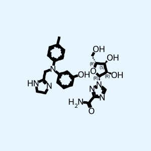 Cc1ccc(N(CC2=NCCN2)c2cccc(O)c2)cc1.NC(=O)c1ncn([C@@H]2O[C@H](CO)[C@@H](O)[C@H]2O)n1